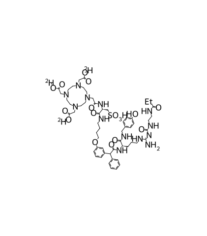 [2H]OC(=O)CN1CCN(CC(=O)N[C@@H](CS(=O)(=O)O)C(=O)NCCCCOc2cccc(C(C(=O)N[C@H](CCCN/C(N)=N\C(=O)NCCNC(=O)CC)C(=O)NCc3ccc(O)cc3)c3ccccc3)c2)CCN(CC(=O)O[2H])CCN(CC(=O)O[2H])CC1